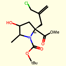 C=C(CCl)C[C@]1(C(=O)OC)CC(O)C(C)N1C(=O)OC(C)(C)C